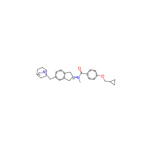 CN(C(=O)c1ccc(OCC2CC2)cc1)[C@@H]1Cc2ccc(CN3CC4CCC3CC4)cc2C1